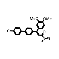 CCN(C)C(=O)C=C(c1ccc(-c2ccc(Cl)cc2)cc1)c1ccc(OC)c(OC)c1